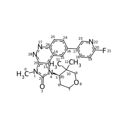 Cn1c(=O)n([C@@H]2CCOCC2(C)C)c2c3cc(-c4ccc(F)nc4)ccc3nnc21